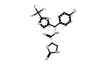 O=C1NC[C@@H](C(=O)N[C@@H](c2ccc(Cl)cc2)c2coc(C(F)(F)F)n2)O1